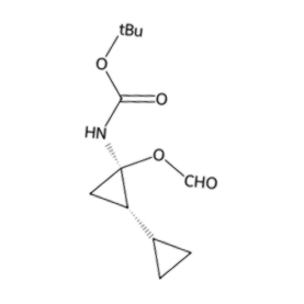 CC(C)(C)OC(=O)N[C@@]1(OC=O)C[C@H]1C1CC1